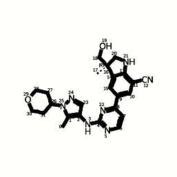 Cc1c(Nc2nccc(-c3cc(C#N)c4c(c3)[C@@](C)(CO)CN4)n2)cnn1C1CCOCC1